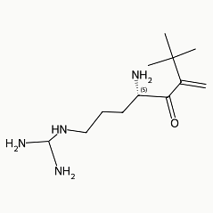 C=C(C(=O)[C@@H](N)CCCNC(N)N)C(C)(C)C